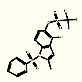 Cc1cc2c(Cl)c(OS(=O)(=O)C(F)(F)F)ccc2n1S(=O)(=O)c1ccccc1